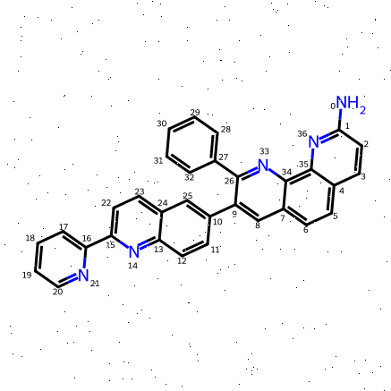 Nc1ccc2ccc3cc(-c4ccc5nc(-c6ccccn6)ccc5c4)c(-c4ccccc4)nc3c2n1